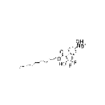 CCCCCCCCCCCCOC(=O)/C(=C(\O)C(F)(F)F)c1ccc([NH+]([O-])O)cc1